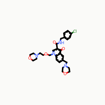 O=C(NCc1ccc(Cl)cc1)c1cn(COCCN2CCOCC2)c2ccc(CN3CCOCC3)cc2c1=O